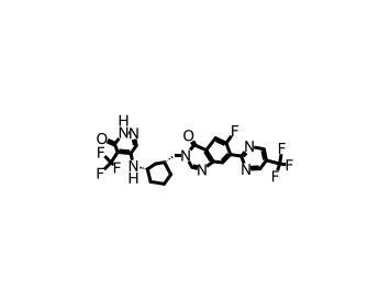 O=c1[nH]ncc(N[C@H]2CCC[C@@H](Cn3cnc4cc(-c5ncc(C(F)(F)F)cn5)c(F)cc4c3=O)C2)c1C(F)(F)F